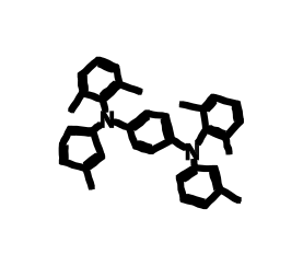 Cc1cccc(N(c2ccc(N(c3cccc(C)c3)c3c(C)cccc3C)cc2)c2c(C)cccc2C)c1